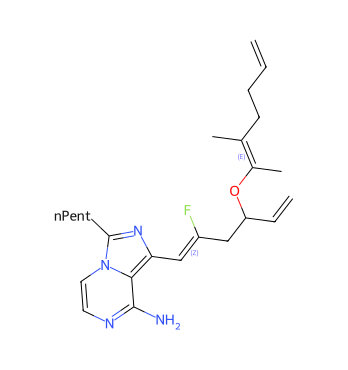 C=CCC/C(C)=C(\C)OC(C=C)C/C(F)=C/c1nc(CCCCC)n2ccnc(N)c12